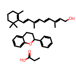 CC1=C(/C=C/C(C)=C/C=C/C(C)=C/CO)C(C)(C)CCC1.CCC(=O)O.c1ccc(C2CCc3ccccc3O2)cc1